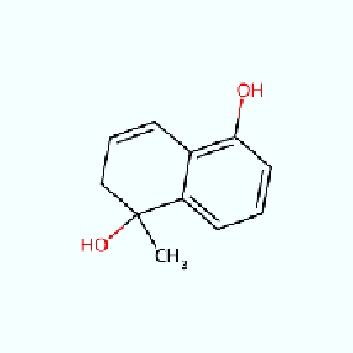 CC1(O)CC=Cc2c(O)cccc21